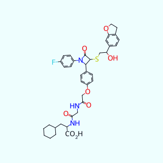 O=C(COc1ccc(C2C(SCC(O)c3ccc4c(c3)OCC4)C(=O)N2c2ccc(F)cc2)cc1)NCC(=O)NC(CC1CCCCC1)C(=O)O